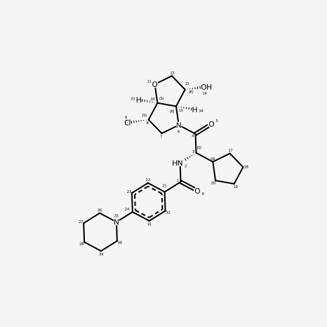 O=C(N[C@H](C(=O)N1C[C@H](Cl)[C@H]2OC[C@H](O)[C@H]21)C1CCCC1)c1ccc(N2CCCCC2)cc1